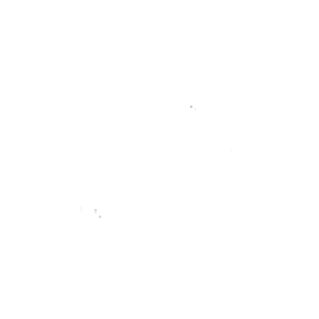 CC(C)(O)c1cc(OC(N)=O)ccc1C#N